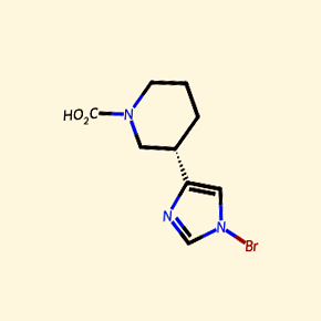 O=C(O)N1CCC[C@H](c2cn(Br)cn2)C1